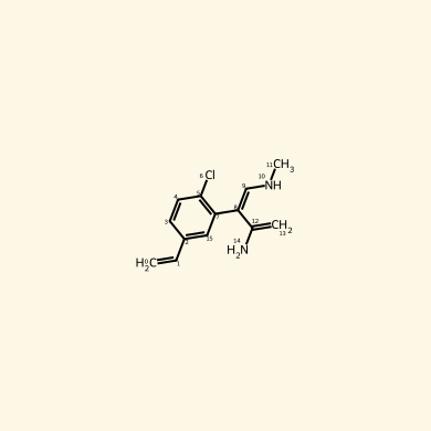 C=Cc1ccc(Cl)c(/C(=C/NC)C(=C)N)c1